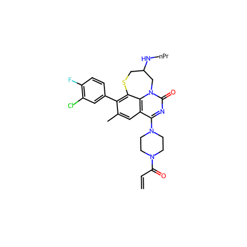 C=CC(=O)N1CCN(c2nc(=O)n3c4c(c(-c5ccc(F)c(Cl)c5)c(C)cc24)SCC(NCCC)C3)CC1